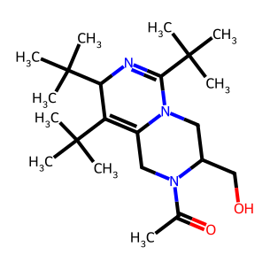 CC(=O)N1CC2=C(C(C)(C)C)C(C(C)(C)C)N=C(C(C)(C)C)N2CC1CO